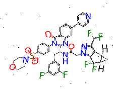 O=C(Cn1nc(C(F)F)c2c1C(F)(F)[C@@H]1C[C@H]21)NC(Cc1cc(F)cc(F)c1)c1nc2cc(-c3ccncc3)ccc2c(=O)n1-c1ccc(S(=O)(=O)N2CCOCC2)cc1